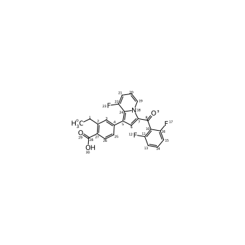 CCc1cc(-c2cc(C(=O)c3c(F)cccc3F)n3cccc(F)c23)ccc1C(=O)O